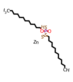 CCCCCCCCCCCCOP(=O)(S)S(=S)CCCCCCCCCCCC.[Zn]